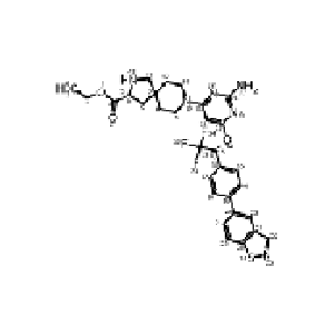 CCOC(=O)[C@@H]1CC2(CCN(c3cc(O[C@H](c4ccc(-c5ccc6sncc6c5)cc4)C(F)(F)F)nc(N)n3)CC2)CN1